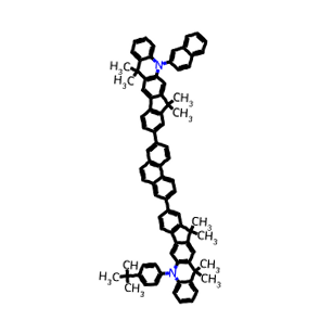 CC(C)(C)c1ccc(N2c3ccccc3C(C)(C)c3cc4c(cc32)-c2ccc(-c3ccc5c(ccc6cc(-c7ccc8c(c7)C(C)(C)c7cc9c(cc7-8)C(C)(C)c7ccccc7N9c7ccc8ccccc8c7)ccc65)c3)cc2C4(C)C)cc1